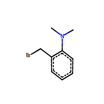 CN(C)c1ccccc1CBr